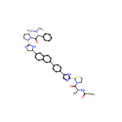 COC(=O)N[C@H](C(=O)N1CCS[C@H]1c1ncc(-c2ccc(-c3ccc4cc(C5CN=C([C@@H]6CCCN6C(=O)[C@@H](c6ccccc6)N(C)C)N5)ccc4c3)cc2)[nH]1)C(C)C